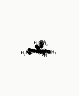 CC(C)c1ccccc1[C@H]1CCCN1C1CC2(CCN(c3ccc(C(=O)NS(=O)(=O)c4cc5c(c([N+](=O)[O-])c4)N[C@@H](C4CCC(C)(O)CC4)CO5)c(Oc4cc5cc[nH]c5nc4O[C@@H]4CCN(C(=O)OC(C)(C)C)C4)c3)CC2)C1